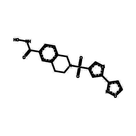 O=C(NO)c1ccc2c(c1)CCN(S(=O)(=O)c1csc(-c3ccon3)c1)C2